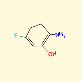 NC1=C(O)C=C(F)[CH]C1